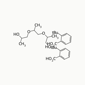 CC(C)(C)c1ccccc1C(=O)O.CC(C)(C)c1ccccc1C(=O)O.CC(O)COC(C)COC(C)CO